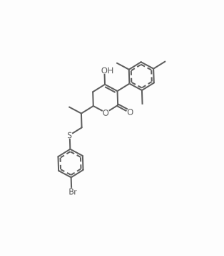 Cc1cc(C)c(C2=C(O)CC(C(C)CSc3ccc(Br)cc3)OC2=O)c(C)c1